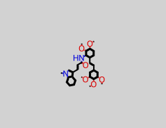 COc1cc(C=Cc2ccc(OC)c(OC)c2NC(=O)/C=C/c2cn(C)c3ccccc23)cc(OC)c1OC